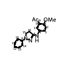 COc1ccc(NC2=NN(c3ccccc3)CC2)cc1C(C)=O